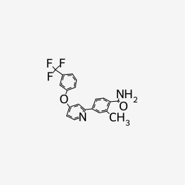 Cc1cc(-c2cc(Oc3cccc(C(F)(F)F)c3)ccn2)ccc1C(N)=O